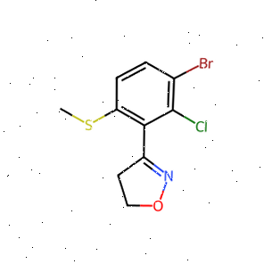 CSc1ccc(Br)c(Cl)c1C1=NOCC1